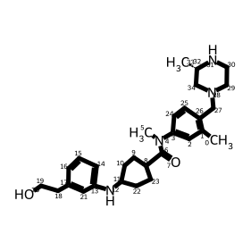 Cc1cc(N(C)C(=O)C2CCC(Nc3cccc(CCO)c3)CC2)ccc1CN1CCN[C@@H](C)C1